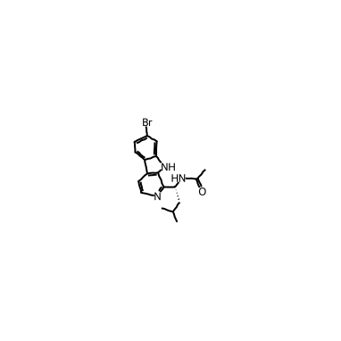 CC(=O)N[C@H](CC(C)C)c1nccc2c1[nH]c1cc(Br)ccc12